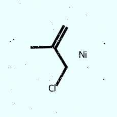 C=C(C)CCl.[Ni]